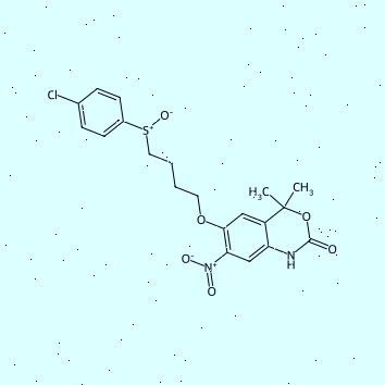 CC1(C)OC(=O)Nc2cc([N+](=O)[O-])c(OCCCC[S+]([O-])c3ccc(Cl)cc3)cc21